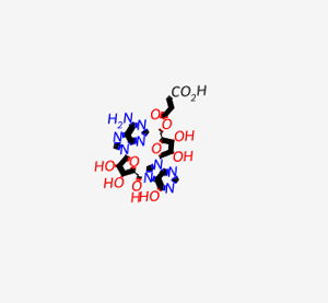 Nc1ncnc2c1ncn2[C@@H]1O[C@H](CO)[C@@H](O)[C@H]1O.O=C(O)CCC(=O)OC[C@H]1O[C@@H](n2cnc3c(O)ncnc32)[C@H](O)[C@@H]1O